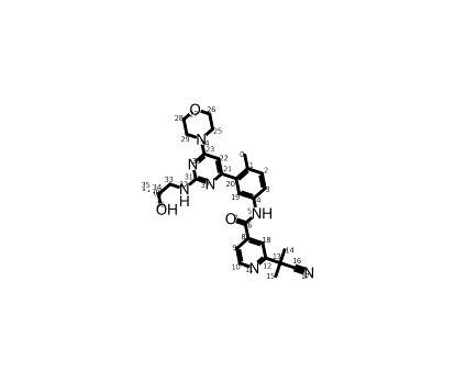 Cc1ccc(NC(=O)c2ccnc(C(C)(C)C#N)c2)cc1-c1cc(N2CCOCC2)nc(NC[C@@H](C)O)n1